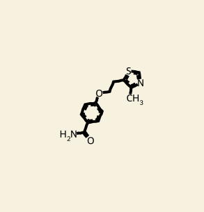 Cc1ncsc1CCOc1ccc(C(N)=O)cc1